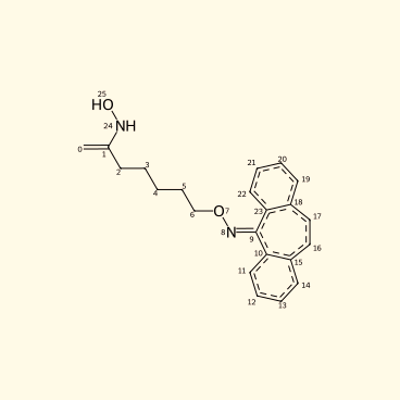 C=C(CCCCCON=c1c2ccccc2ccc2ccccc12)NO